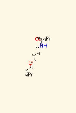 CC(C)CCOCCCCNC(=O)C(C)C